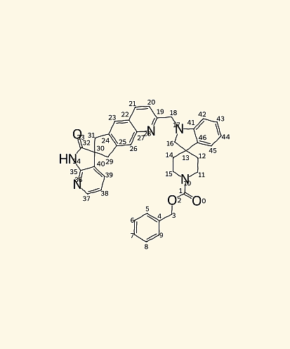 O=C(OCc1ccccc1)N1CCC2(CC1)CN(Cc1ccc3cc4c(cc3n1)CC1(C4)C(=O)Nc3ncccc31)c1ccccc12